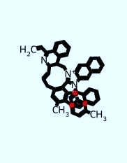 C=CC1=NC2/C=C/Cc3cc(C)c4c(oc5cc(C)ccc54)c3-c3n(-c4cccc5ccccc45)c4cc5ccccc5cc4[n+]3CC2c2ccccc21